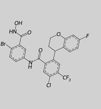 O=C(NO)c1cc(NC(=O)c2cc(Cl)c(C(F)(F)F)cc2C2CCOc3cc(F)ccc32)ccc1Br